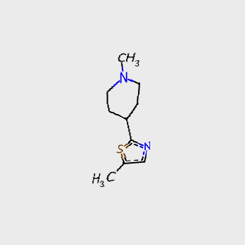 Cc1cnc(C2CCN(C)CC2)s1